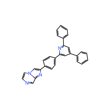 c1ccc(-c2cc(-c3ccccc3)nc(-c3ccc(-c4cn5ccncc5n4)cc3)c2)cc1